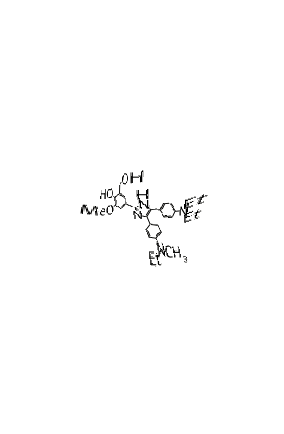 CCN(C)c1ccc(-c2nc(-c3cc(CO)c(O)c(OC)c3)[nH]c2-c2ccc(N(CC)CC)cc2)cc1